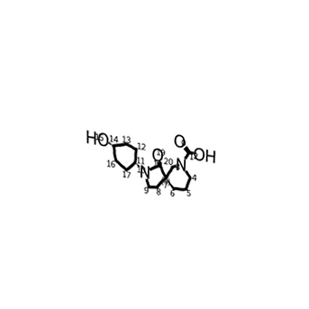 O=C(O)N1CCC[C@]2(CCN([C@H]3CC[C@@H](O)CC3)C2=O)C1